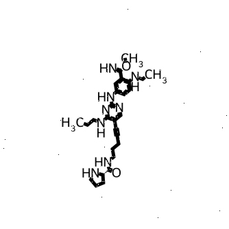 CCCNc1nc(Nc2ccc(NCC)c(C(=N)OC)c2)ncc1C#CCCCNC(=O)[C@@H]1CCCN1